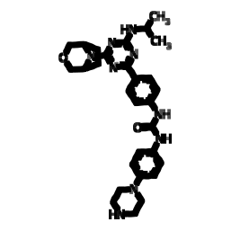 CC(C)Nc1nc(-c2ccc(NC(=O)Nc3ccc(N4CCNCC4)cc3)cc2)nc(N2C3CCC2COC3)n1